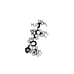 COC(C(=O)N[C@H]1CC[C@@H](O[Si](C)(C)C(C)(C)C)CN(Cc2cccnc2)C1=O)[C@@H]1OC(C)(C)O[C@H](C=CC(C)(C)C)[C@H]1O